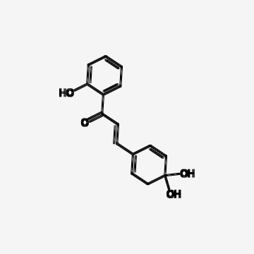 O=C(C=CC1=CCC(O)(O)C=C1)c1ccccc1O